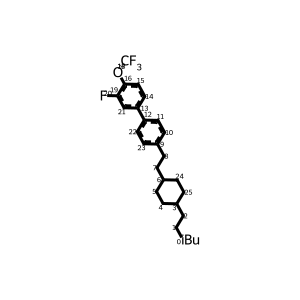 CCC(C)CCC1CCC(CCc2ccc(-c3ccc(OC(F)(F)F)c(F)c3)cc2)CC1